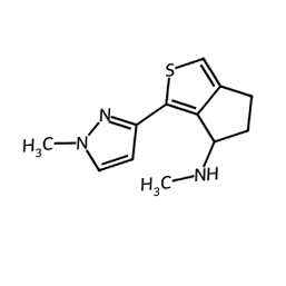 CNC1CCc2csc(-c3ccn(C)n3)c21